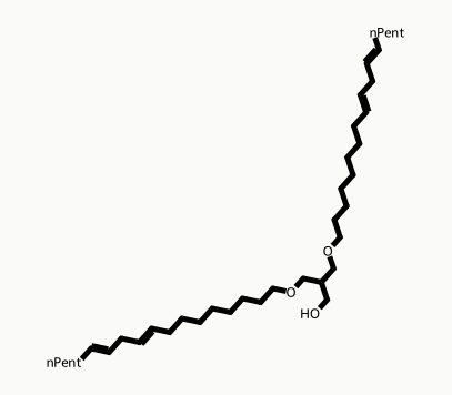 CCCCCC=CCC=CCCCCCCCCOCC(CO)COCCCCCCCCC=CCC=CCCCCC